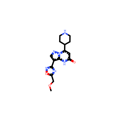 COCc1nc(-c2cnn3c(C4CCNCC4)cc(=O)[nH]c23)no1